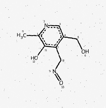 Cc1ncc(CO)c(CN=O)c1O